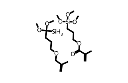 C=C(C)C(=O)OCCC[Si](OC)(OC)OC.C=C(C)COCCCC([SiH3])(OC)OC